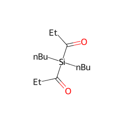 CCCC[Si](CCCC)(C(=O)CC)C(=O)CC